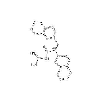 N=C(N)NC(=O)[C@@H](Cc1ccc2ccccc2c1)c1ccc2ccccc2c1